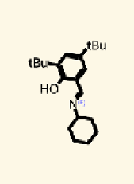 CC(C)(C)c1cc(/C=N/C2CCCCC2)c(O)c(C(C)(C)C)c1